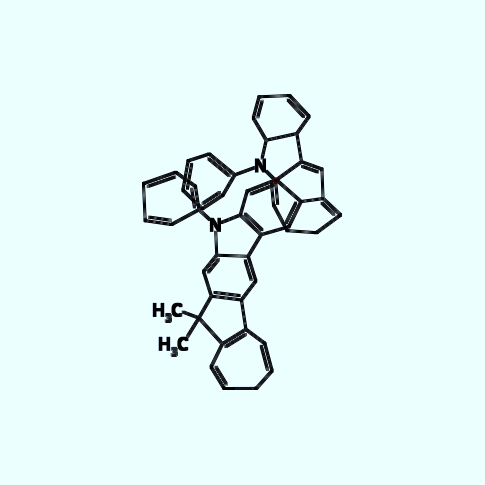 CC1(C)C2=C(C=CCC=C2)c2cc3c4cc(C5=C\CCC=C6/C(=C\5)C5C=CC=CC5N6c5ccccc5)ccc4n(-c4ccccc4)c3cc21